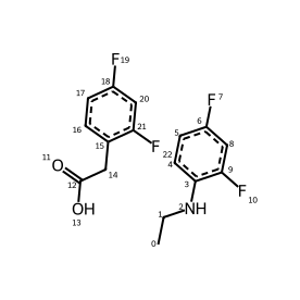 CCNc1ccc(F)cc1F.O=C(O)Cc1ccc(F)cc1F